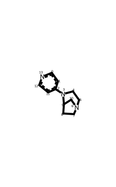 c1cc(N2CCN3CCC2C3)ccn1